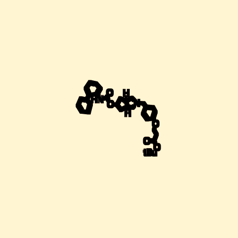 CC(C)(C)OC(=O)CCOc1ccc(CN2C[C@H]3CC(OC(=O)Nc4ccccc4-c4ccccc4)C[C@H]3C2)cc1